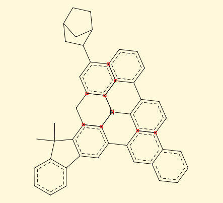 CC1(C)c2ccccc2-c2cc(-c3ccc4ccccc4c3)c(N(c3ccc(C4CC5CCC4C5)cc3)c3ccccc3-c3ccccc3C3CCCCC3)cc21